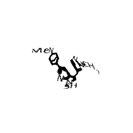 CNC1CC2C=C(c3cnc4c(c3)c(-c3cnn(C)c3)cn4S)CC(C2)C1